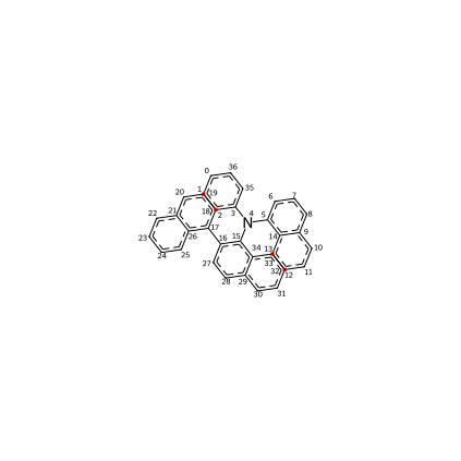 c1ccc(N(c2cccc3ccccc23)c2c(-c3cccc4ccccc34)ccc3ccccc23)cc1